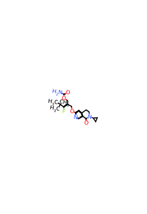 CC(C)(C)C(F)=C(COC(N)=O)COc1cc2c(cn1)C(=O)N(C1CC1)CC2